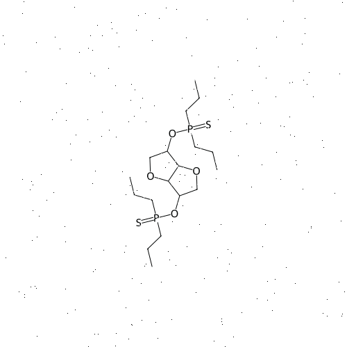 CCCP(=S)(CCC)OC1COC2C(OP(=S)(CCC)CCC)COC12